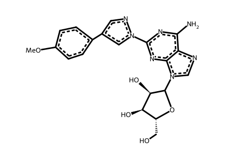 COc1ccc(-c2cnn(-c3nc(N)c4ncn(C5O[C@H](CO)[C@@H](O)[C@H]5O)c4n3)c2)cc1